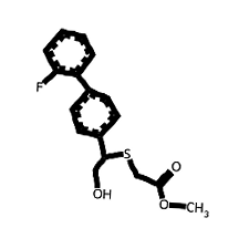 COC(=O)CSC(CO)c1ccc(-c2ccccc2F)cc1